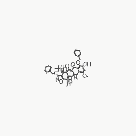 COc1cc(O)c(OCc2ccccc2)c2c1C[C@H]1C[C@H]3[C@H](N(C)C)c4onc(OCc5ccccc5)c4C(=O)C3(O[Si](C)(C)C(C)(C)C)C(O)=C1C2=O